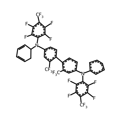 Fc1c(F)c(C(F)(F)F)c(F)c(F)c1N(c1ccccc1)c1ccc(-c2ccc(N(c3c(F)c(F)c(C(F)(F)F)c(F)c3F)C3C=CC=CC3)cc2C(F)(F)F)c(C(F)(F)F)c1